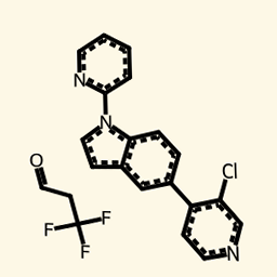 Clc1cnccc1-c1ccc2c(ccn2-c2ccccn2)c1.O=CCC(F)(F)F